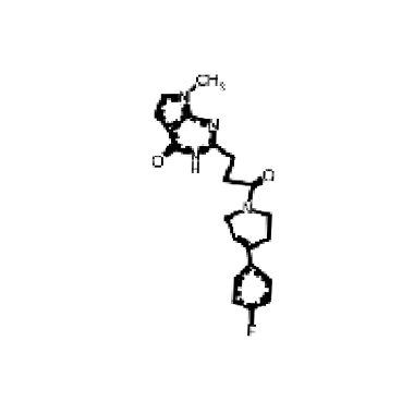 Cn1ccc2c(=O)[nH]c(CCC(=O)N3CC=C(c4ccc(F)cc4)CC3)nc21